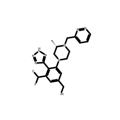 CC(C)Cc1cc(C(F)F)c(-c2nn[nH]n2)c(N2CCN(Cc3cccnn3)[C@@H](C)C2)c1